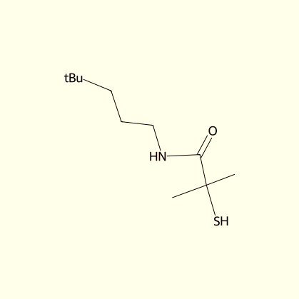 CC(C)(C)CCCNC(=O)C(C)(C)S